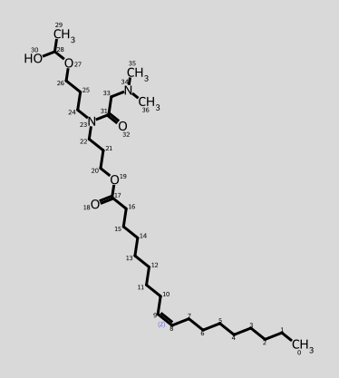 CCCCCCCC/C=C\CCCCCCCC(=O)OCCCN(CCCOC(C)O)C(=O)CN(C)C